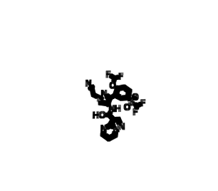 N#CCn1cc(NC(O)c2cnn3cccnc23)c(-c2cc(S(=O)(=O)C(F)F)ccc2OC(F)F)n1